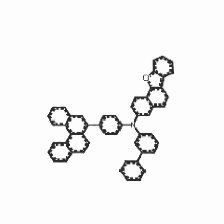 c1ccc(-c2cccc(N(c3ccc(-c4cc5ccccc5c5c4ccc4ccccc45)cc3)c3ccc4c(ccc5c6ccccc6oc45)c3)c2)cc1